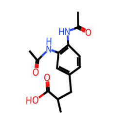 CC(=O)Nc1ccc(CC(C)C(=O)O)cc1NC(C)=O